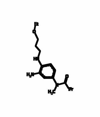 CCOCCCNc1ccc(N(C)C(=O)C(C)C)cc1N